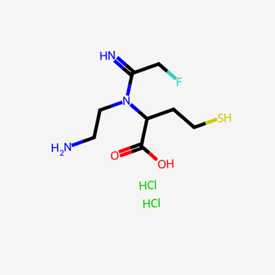 Cl.Cl.N=C(CF)N(CCN)C(CCS)C(=O)O